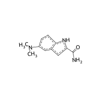 CN(C)c1ccc2[nH]c(C(N)=O)cc2c1